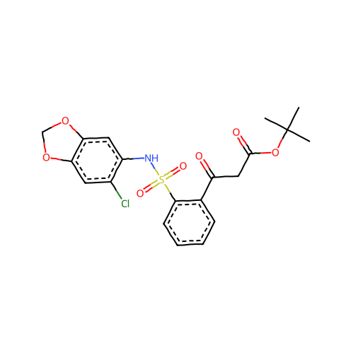 CC(C)(C)OC(=O)CC(=O)c1ccccc1S(=O)(=O)Nc1cc2c(cc1Cl)OCO2